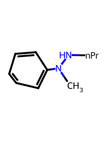 CCCNN(C)c1ccccc1